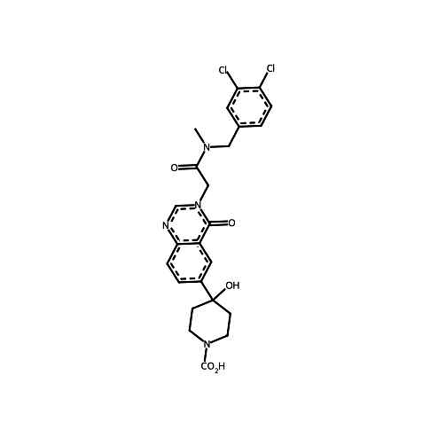 CN(Cc1ccc(Cl)c(Cl)c1)C(=O)Cn1cnc2ccc(C3(O)CCN(C(=O)O)CC3)cc2c1=O